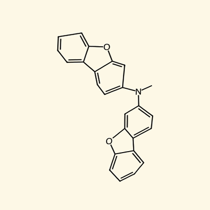 CN(c1ccc2c(c1)oc1ccccc12)c1ccc2c(c1)oc1ccccc12